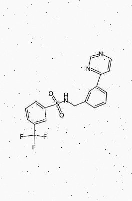 O=S(=O)(NCc1cccc(-c2ccncn2)c1)c1cccc(C(F)(F)F)c1